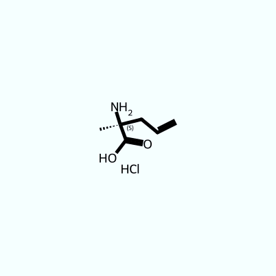 C=CC[C@](C)(N)C(=O)O.Cl